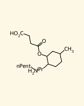 CC1CCC(C(C)C)C(OC(=O)CCC(=O)O)C1.CCCCCN